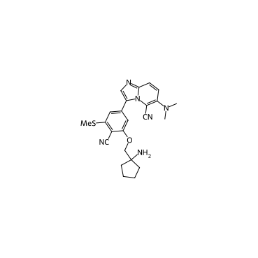 CSc1cc(-c2cnc3ccc(N(C)C)c(C#N)n23)cc(OCC2(N)CCCC2)c1C#N